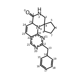 O=C1NCC2(CCCC2)N2c3nc(CC4C=C=CC=C4)ncc3C=CC12